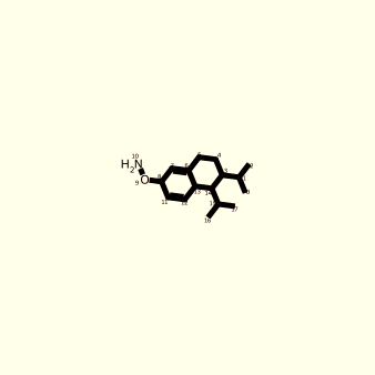 CC(C)C1CCC2=CC(ON)C=CC2C1C(C)C